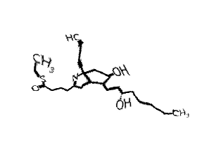 C#CC#CC12CC(O)C(/C=C/[C@@H](O)CCCCC)C1CC(CCCC(=O)SCC)=N2